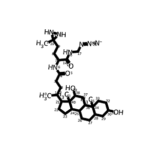 CC(CCC(=O)NC(CCC1(C)NN1)C(=O)NCN=[N+]=[N-])C1CCC2C3CCC4CC(O)CCC4(C)C3CC(O)C12C